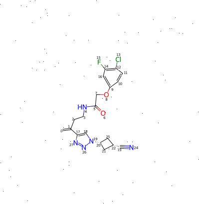 C=C(CCNC(=O)COc1ccc(Cl)c(F)c1)c1cn([C@H]2C[C@@H](C#N)C2)nn1